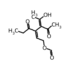 CCC(=O)C(=C/COC=O)/C(C(C)=O)=C(\C)O